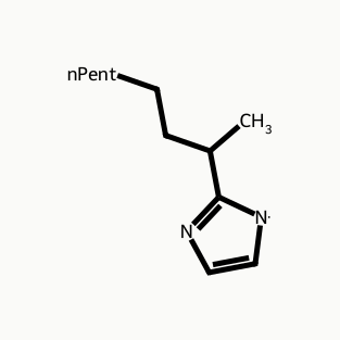 CCCCCCCC(C)C1=NC=C[N]1